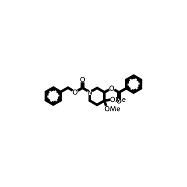 COC1(OC)CCN(C(=O)OCc2ccccc2)CC1OC(=O)c1ccccc1